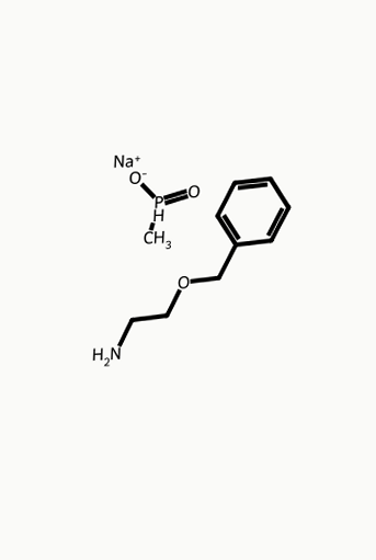 C[PH](=O)[O-].NCCOCc1ccccc1.[Na+]